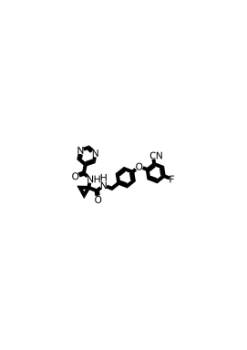 N#Cc1cc(F)ccc1Oc1ccc(CNC(=O)C2(NC(=O)c3cncnc3)CC2)cc1